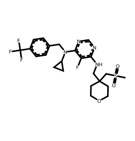 CS(=O)(=O)CC1(CNc2ncnc(N(Cc3ccc(C(F)(F)F)cc3)C3CC3)c2F)CCOCC1